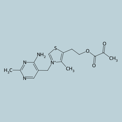 CC(=O)C(=O)OCCc1sc[n+](Cc2cnc(C)nc2N)c1C